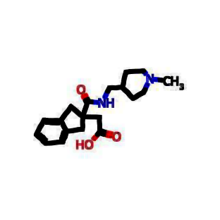 CN1CCC(CNC(=O)C2(CC(=O)O)Cc3ccccc3C2)CC1